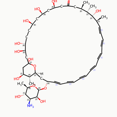 C[C@@H]1[C@H](O)[C@@H](C)/C=C/C=C/C=C/C=C/C=C/C=C/C=C/[C@H](O[C@@H]2O[C@H](C)[C@@H](O)[C@H](N)[C@@H]2O)C[C@@H]2O[C@](O)(C[C@@H](O)[C@H](O)CC[C@@H](O)C[C@@H](O)C[C@@H](O)CC(=O)C[C@H]1C)C[C@H](O)[C@H]2C